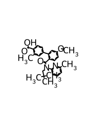 COc1ccc(C(=O)N(CC(C)(C)C)c2cccc(C)n2)c(-c2ccc(C(=O)O)c(C)c2)c1